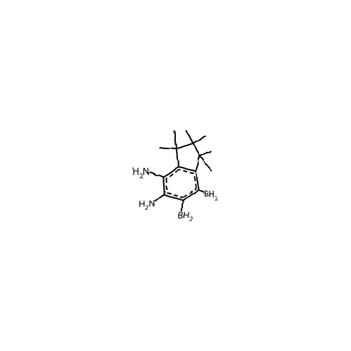 Bc1c(B)c2c(c(N)c1N)C(C)(C)C(C)(C)C2(C)C